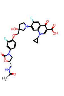 CC(=O)NC[C@H]1CN(c2ccc(OCC3(O)CCN(c4cc5c(cc4F)c(=O)c(C(=O)O)cn5C4CC4)C3)c(F)c2)C(=O)O1